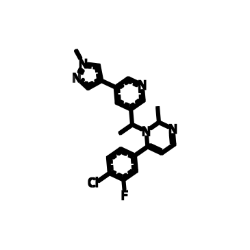 CC1N=CC=C(c2ccc(Cl)c(F)c2)N1C(C)c1cncc(-c2cnn(C)c2)c1